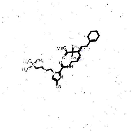 COC(=O)C(C)(C)C(/C=C\CNC(=O)c1nc(C#N)cn1COCC[Si](C)(C)C)=C/CC1=CCCCC1